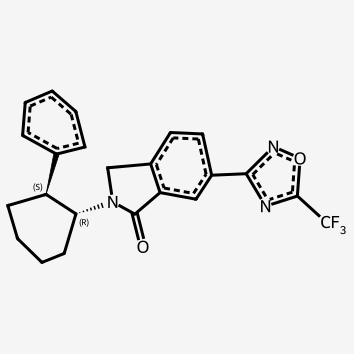 O=C1c2cc(-c3noc(C(F)(F)F)n3)ccc2CN1[C@@H]1CCCC[C@H]1c1ccccc1